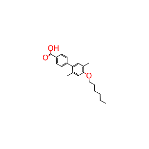 CCCCCCOc1cc(C)c(-c2ccc(C(=O)O)cc2)cc1C